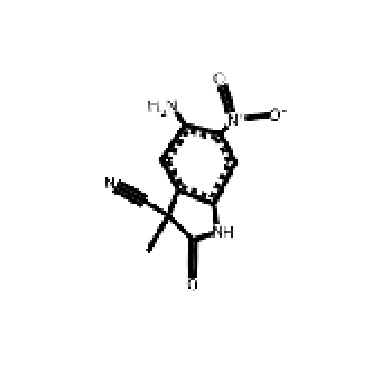 CC1(C#N)C(=O)Nc2cc([N+](=O)[O-])c(N)cc21